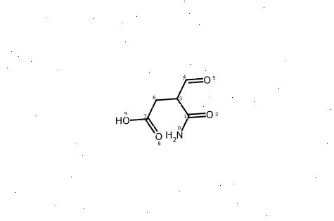 NC(=O)C([C]=O)CC(=O)O